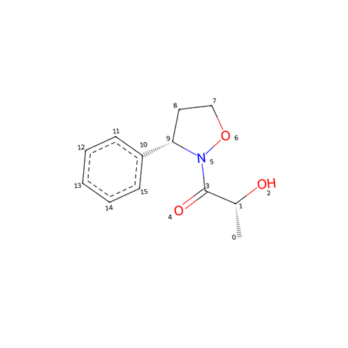 C[C@@H](O)C(=O)N1OCC[C@H]1c1ccccc1